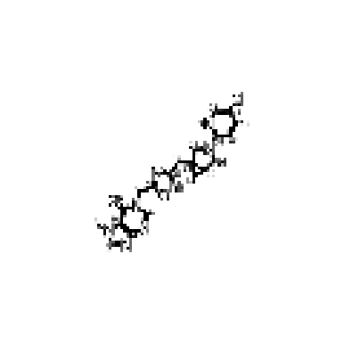 Cn1cnc2ncn(Cc3nc(CC45CC4CN(c4ccc(Cl)cn4)C5)no3)c(=O)c21